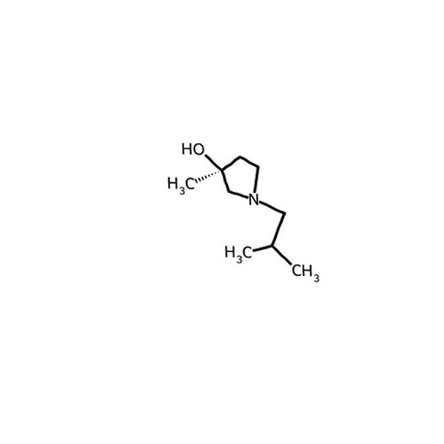 CC(C)CN1CC[C@](C)(O)C1